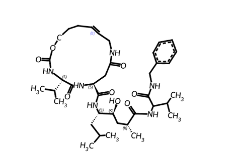 CC(C)C[C@H](NC(=O)[C@@H]1CC(=O)NC/C=C/CCCOC(=O)N[C@@H](C(C)C)C(=O)N1)[C@@H](O)C[C@@H](C)C(=O)NC(C(=O)NCc1ccccc1)C(C)C